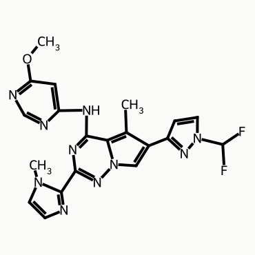 COc1cc(Nc2nc(-c3nccn3C)nn3cc(-c4ccn(C(F)F)n4)c(C)c23)ncn1